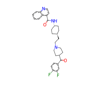 O=C(N[C@H]1CC[C@H](CCN2CCC(C(=O)c3ccc(F)c(F)c3)CC2)CC1)c1ccnc2ccccc12